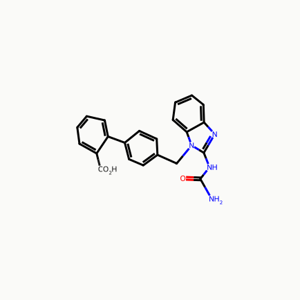 NC(=O)Nc1nc2ccccc2n1Cc1ccc(-c2ccccc2C(=O)O)cc1